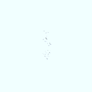 Nc1nc(N)c2c(n1)NCC(CCc1cc(C(=O)N[C@@H](CCC(=O)O)C(=O)O)sn1)C2